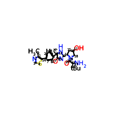 Cc1ncsc1-c1ccc([C@]2(C)NC([C@@H]3C[C@@H](O)CN3C(=O)[C@@H](N)C(C)(C)C)=NC2=O)cc1